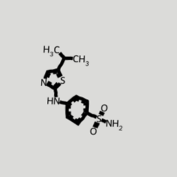 CC(C)c1cnc(Nc2ccc(S(N)(=O)=O)cc2)s1